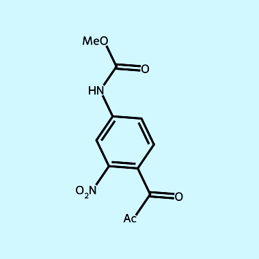 COC(=O)Nc1ccc(C(=O)C(C)=O)c([N+](=O)[O-])c1